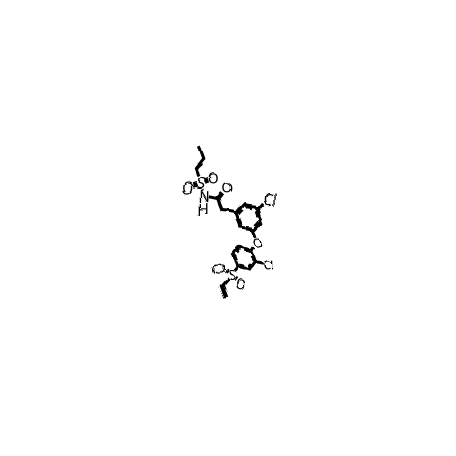 CCCS(=O)(=O)NC(=O)Cc1cc(Cl)cc(Oc2ccc(S(=O)(=O)CC)cc2Cl)c1